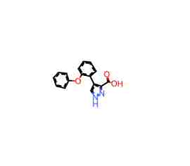 O=C(O)c1n[nH]cc1-c1ccccc1Oc1ccccc1